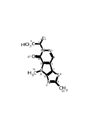 CCC(C(=O)O)n1ncc2c3sc(C)nc3n(C)c2c1=O